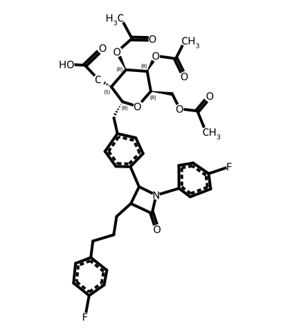 CC(=O)OC[C@H]1O[C@H](Cc2ccc(C3C(CCCc4ccc(F)cc4)C(=O)N3c3ccc(F)cc3)cc2)[C@H](CC(=O)O)[C@@H](OC(C)=O)[C@H]1OC(C)=O